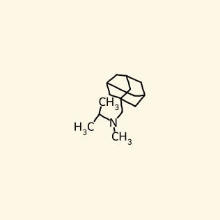 CC(C)N(C)CC12CC3CC(CC(C3)C1)C2